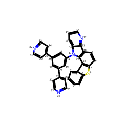 c1ccc2c(c1)sc1ccc3c4ncccc4n(-c4cc(-c5ccncc5)cc(-c5ccncc5)c4)c3c12